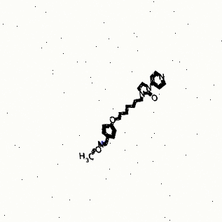 CCO/N=C/c1ccc(OCCCCCCCN2CCN(c3ccncc3)C2=O)cc1